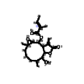 C=C1C(=O)OC2C(O)C(C)CCCC3(C)OC3C(OC(=O)/C(C)=C/C)C12